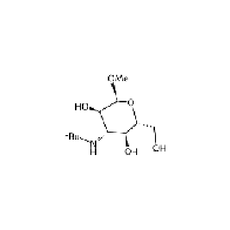 CCCCN[C@@H]1[C@@H](O)[C@@H](OC)O[C@H](CO)[C@H]1O